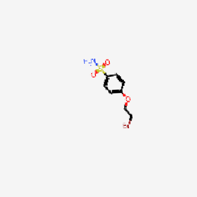 NS(=O)(=O)c1ccc(OCCBr)cc1